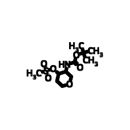 CC(C)(C)OC(=O)NC1COCCC1OS(C)(=O)=O